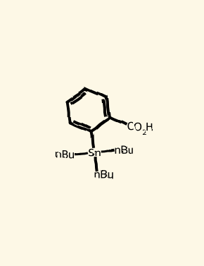 CCC[CH2][Sn]([CH2]CCC)([CH2]CCC)[c]1ccccc1C(=O)O